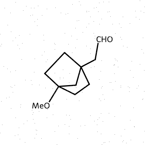 COC12CCC(CC=O)(CC1)C2